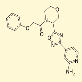 Nc1cc(-c2noc(C3COCCN3C(=O)COc3ccccc3)n2)ccn1